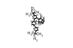 CC(C)(C)c1ccc(-c2ccc(-c3sc(C(C)(C)C)cc3C3=C(F)C(F)(F)C(F)(F)C3(F)F)s2)s1